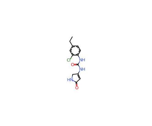 CCc1ccc(NC(=O)NC2=CC(=O)NC2)c(Cl)c1